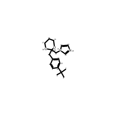 CC(C)(C)c1ccc(CC2(Cn3ccnc3)OCCCO2)cc1